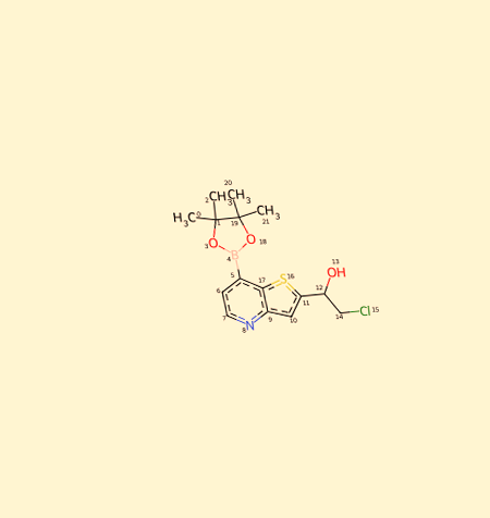 CC1(C)OB(c2ccnc3cc(C(O)CCl)sc23)OC1(C)C